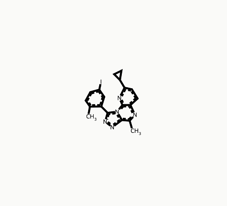 Cc1ccc(I)cc1-c1nnc2c(C)nc3ccc(C4CC4)nc3n12